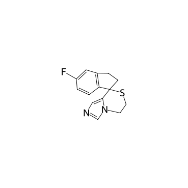 Fc1ccc2c(c1)CCC21SCCn2cncc21